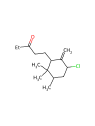 C=C1C(Cl)CC(C)C(C)(C)C1CCC(=O)CC